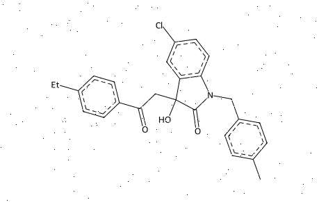 CCc1ccc(C(=O)CC2(O)C(=O)N(Cc3ccc(C)cc3)c3ccc(Cl)cc32)cc1